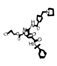 CC(C)(NC(=O)c1cc2c(o1)c(NC(=O)c1ccc(CN3CCCC3)cc1)nn2C(=O)OCCCl)c1ccccc1